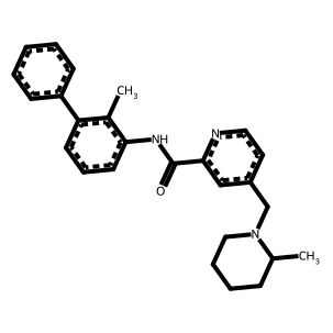 Cc1c(NC(=O)c2cc(CN3CCCCC3C)ccn2)cccc1-c1ccccc1